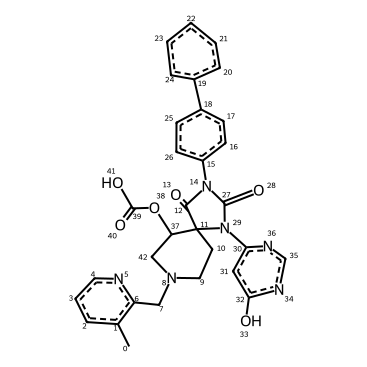 Cc1cccnc1CN1CCC2(C(=O)N(c3ccc(-c4ccccc4)cc3)C(=O)N2c2cc(O)ncn2)C(OC(=O)O)C1